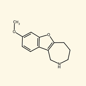 COc1ccc2c3c(oc2c1)CCCNC3